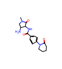 CN1CC(N)C(NC(=O)c2ccc(N3CCCCC3=O)cc2)C1=O